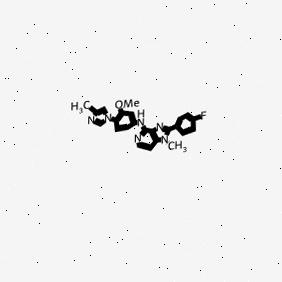 COc1cc(Nc2nccc3c2nc(-c2ccc(F)cc2)n3C)ccc1-n1cnc(C)c1